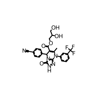 CC1=C(C(=O)OCC(O)CO)C(c2ccc(C#N)cc2)n2c(n[nH]c2=O)N1c1cccc(C(F)(F)F)c1